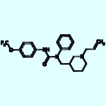 C=CCN1CCCC(CN(C(=O)Nc2ccc(OC(F)(F)F)cc2)c2ccccc2)C1